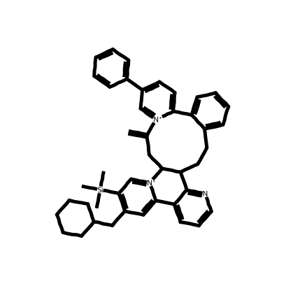 C=C1CC2C(CCc3ccccc3-c3ccc(-c4ccccc4)c[n+]31)c1ncccc1-c1cc(CC3CCCCC3)c([Si](C)(C)C)c[n+]12